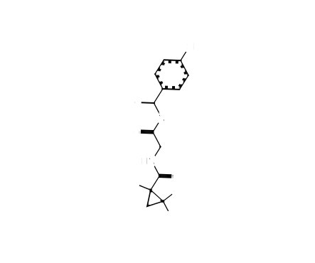 CC(NC(=O)CNC(=O)C1(C)CC1(Cl)Cl)c1ccc(Cl)cc1